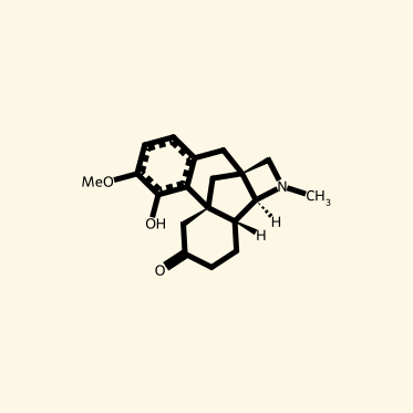 COc1ccc2c(c1O)[C@@]13CC(=O)CC[C@H]1[C@@H]1N(C)C[C@]1(C2)C3